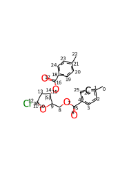 Cc1ccc(C(=O)OCC2O[C@H](Cl)C[C@@H]2OC(=O)c2ccc(C)cc2)cc1